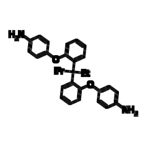 CCC(c1ccccc1Oc1ccc(N)cc1)(c1ccccc1Oc1ccc(N)cc1)C(C)C